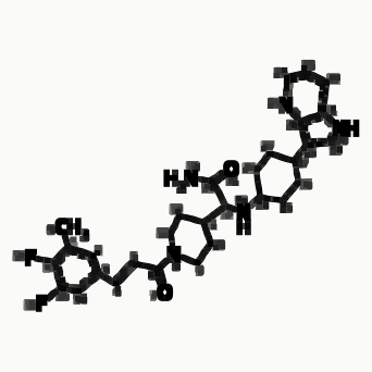 Cc1cc(/C=C/C(=O)N2CCC(C(NC3CCC(c4c[nH]c5cccnc45)CC3)C(N)=O)CC2)cc(F)c1F